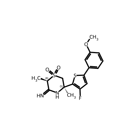 COc1cccc(-c2cc(F)c([C@]3(C)CS(=O)(=O)[C@H](C)C(=N)N3)s2)c1